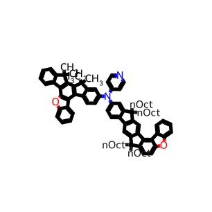 CCCCCCCCC1(CCCCCCCC)c2cc(N(c3ccncc3)c3ccc4c(c3)C(C)(C)c3c5c(c6oc7ccccc7c6c3-4)-c3ccccc3C5(C)C)ccc2-c2cc3c(cc21)-c1c(ccc2oc4ccccc4c12)C3(CCCCCCCC)CCCCCCCC